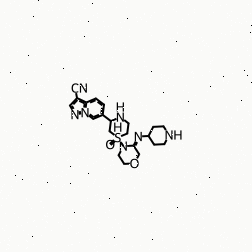 N#Cc1cnn2cc(C3C[SH](=O)(N4CCOCC4=NC4CCNCC4)CCN3)ccc12